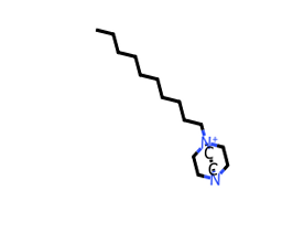 CCCCCCCCCC[N+]12CCN(CC1)CC2